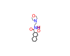 O=C(NCCN1CCOCC1)c1cc2ccccc2cc1O